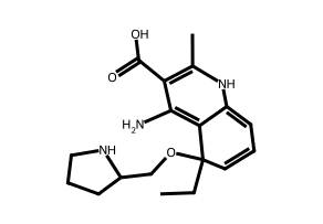 CCC1(OCC2CCCN2)C=CC=C2NC(C)=C(C(=O)O)C(N)=C21